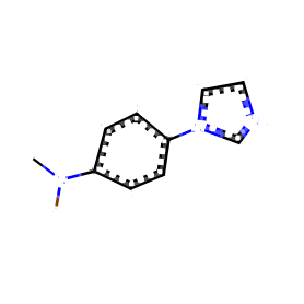 CN(S)c1ccc(-n2ccnc2)cc1